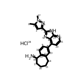 Cc1cc(-c2nc3c(-c4ccc5c(c4)CCCCC5N)ccnc3[nH]2)nn1C.Cl